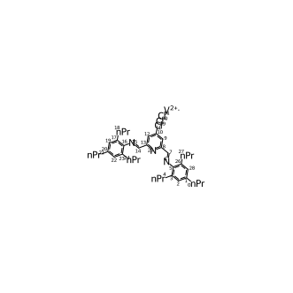 CCCc1cc(CCC)c(N=Cc2cc(Cl)cc(C=Nc3c(CCC)cc(CCC)cc3CCC)n2)c(CCC)c1.[Cl-].[Cl-].[V+2]